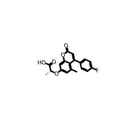 Cc1cc(O[C@H](C)C(=O)O)cc2oc(=O)cc(-c3ccc(F)cc3)c12